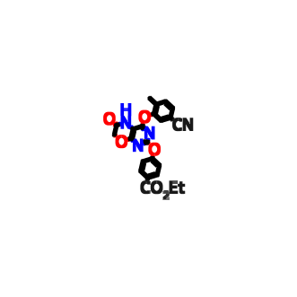 CCOC(=O)c1ccc(Oc2nc3c(c(Oc4cc(C#N)ccc4C)n2)NC(=O)CO3)cc1